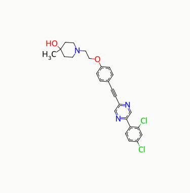 CC1(O)CCN(CCOc2ccc(C#Cc3cnc(-c4ccc(Cl)cc4Cl)cn3)cc2)CC1